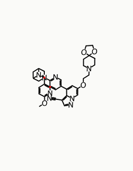 COc1ccc(CN2C3CC2CN(c2ccc(-c4cc(OCCN5CCC6(CC5)OCCO6)cn5ncc(C#N)c45)cn2)C3)cn1